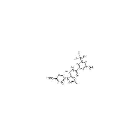 Cc1nc(C(C)NC(=O)c2cc(O)cc(C(F)(F)F)c2)n(-c2ccc(C#N)cn2)n1